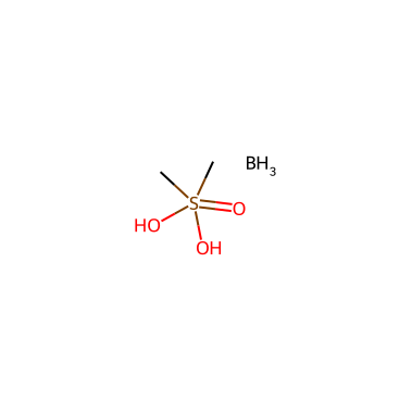 B.CS(C)(=O)(O)O